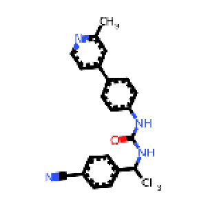 Cc1cc(-c2ccc(NC(=O)NC(C)c3ccc(C#N)cc3)cc2)ccn1